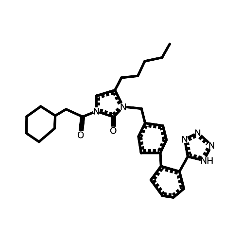 CCCCCc1cn(C(=O)CC2CCCCC2)c(=O)n1Cc1ccc(-c2ccccc2-c2nnn[nH]2)cc1